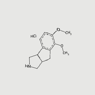 COc1ccc2c(c1OC)CC1CNCC21.Cl